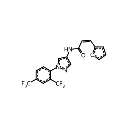 O=C(/C=C\c1ccco1)Nc1cnn(-c2ccc(C(F)(F)F)cc2C(F)(F)F)c1